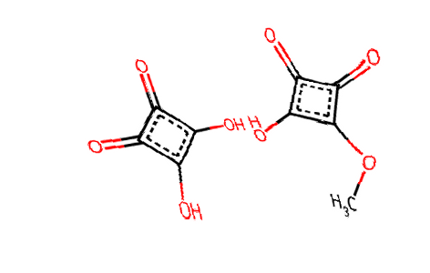 COc1c(O)c(=O)c1=O.O=c1c(O)c(O)c1=O